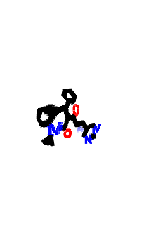 O=C(/C=C/c1cncnc1)c1c(-c2ccccc2)c2ccccc2n(C2CC2)c1=O